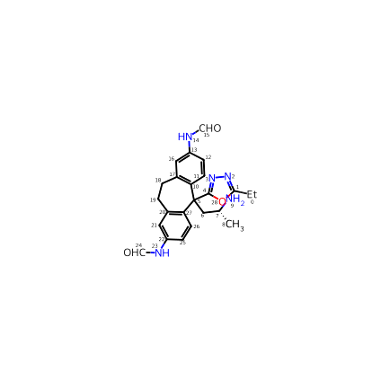 CCc1nnc(C2(C[C@@H](C)N)c3ccc(NC=O)cc3CCc3cc(NC=O)ccc32)o1